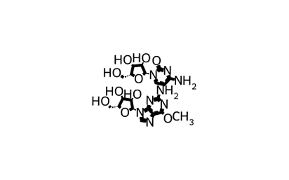 COc1nc(N)nc2c1ncn2[C@@H]1O[C@H](CO)[C@@H](O)[C@@H]1O.Nc1ccn([C@@H]2O[C@H](CO)[C@@H](O)[C@@H]2O)c(=O)n1